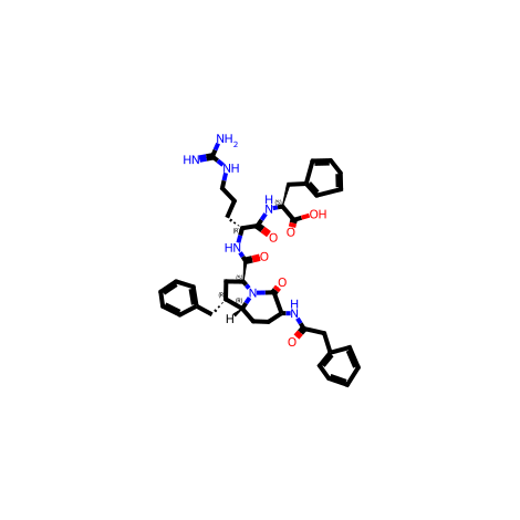 N=C(N)NCCC[C@@H](NC(=O)[C@@H]1C[C@@H](Cc2ccccc2)[C@H]2CCC(NC(=O)Cc3ccccc3)C(=O)N21)C(=O)N[C@@H](Cc1ccccc1)C(=O)O